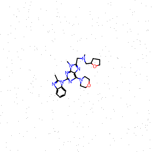 Cc1nc2ccccc2n1-c1nc(N2CCOCC2)c2nc(CN(C)CC3CCCO3)n(C)c2n1